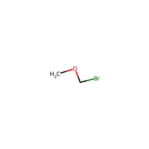 [CH2]OCBr